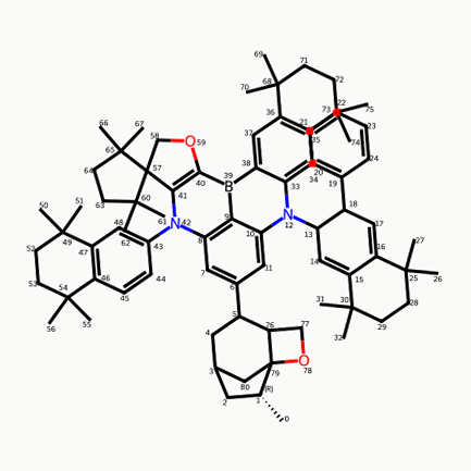 C[C@@H]1CC2CC(c3cc4c5c(c3)N(C3C=C6C(=CC3c3ccccc3)C(C)(C)CCC6(C)C)c3cc6c(cc3B5C3=C(N4c4ccc5c(c4)C(C)(C)CCC5(C)C)C4(CO3)C(C)(C)CCC4(C)C)C(C)(C)CCC6(C)C)C3COC31C2